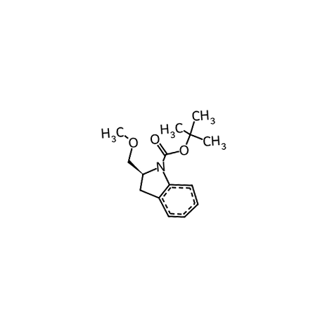 COC[C@@H]1Cc2ccccc2N1C(=O)OC(C)(C)C